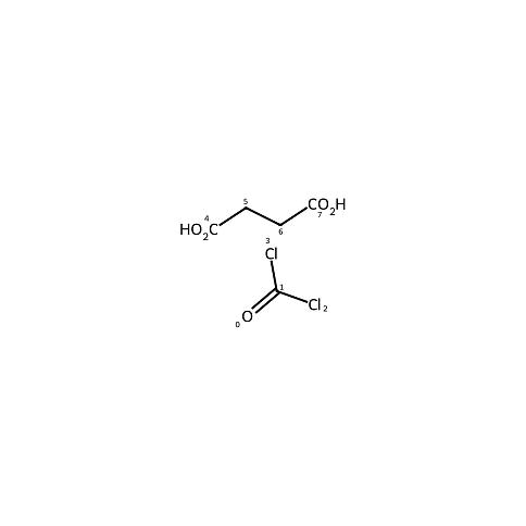 O=C(Cl)Cl.O=C(O)CCC(=O)O